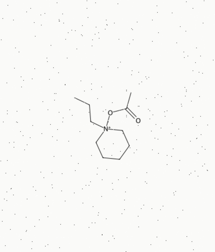 CCC[N+]1(OC(C)=O)CCCCC1